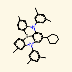 Cc1cc(C)cc(N2c3cc(C)ccc3B3c4ccc(C)cc4N(c4cc(C)cc(C)c4)c4cc(C5CCCCC5)cc2c43)c1